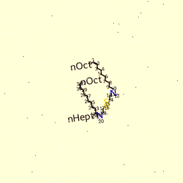 CCCCCCCC/C=C\CCCCCCCCN(C)CCSSCCN(C)C(CCCCCCC)CCCCCCC/C=C\CCCCCCCC